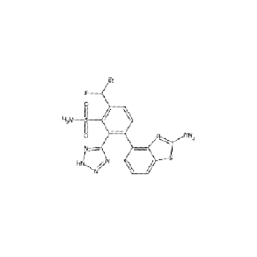 CCC(F)c1ccc(-c2cccc3sc(N)nc23)c(-c2nn[nH]n2)c1S(N)(=O)=O